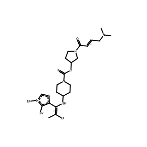 CC/C(C)=C(\NC1CCN(C(=O)OC2CCN(C(=O)/C=C/CN(C)C)C2)CC1)c1ncn(CC)c1C(C)C